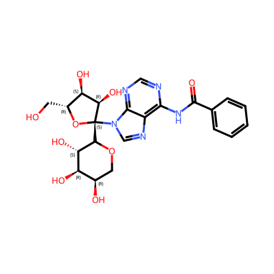 O=C(Nc1ncnc2c1ncn2[C@]1(C2OC[C@@H](O)[C@@H](O)[C@@H]2O)O[C@H](CO)[C@@H](O)[C@H]1O)c1ccccc1